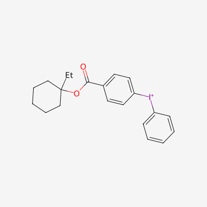 CCC1(OC(=O)c2ccc([I+]c3ccccc3)cc2)CCCCC1